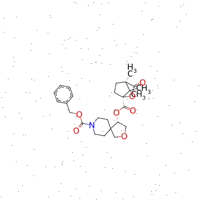 CC1(C)[C@@]2(C)CC[C@]1(C(=O)O[C@@H]1COCC13CCN(C(=O)OCc1ccccc1)CC3)OC2=O